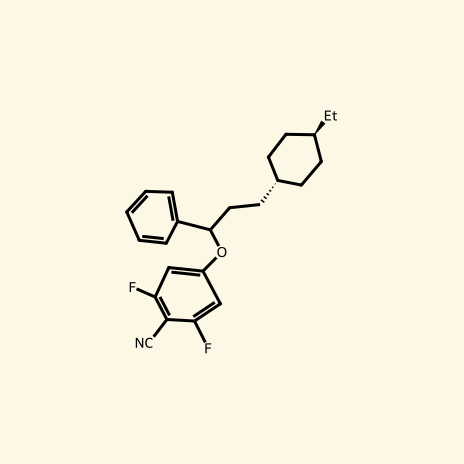 CC[C@H]1CC[C@H](CCC(Oc2cc(F)c(C#N)c(F)c2)c2ccccc2)CC1